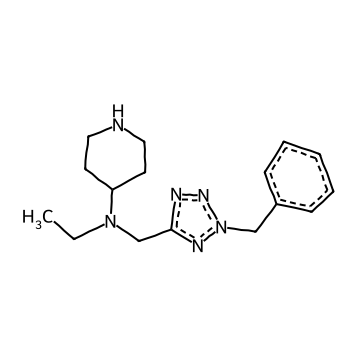 CCN(Cc1nnn(Cc2ccccc2)n1)C1CCNCC1